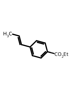 CC=Cc1ccc(C(=O)OCC)cc1